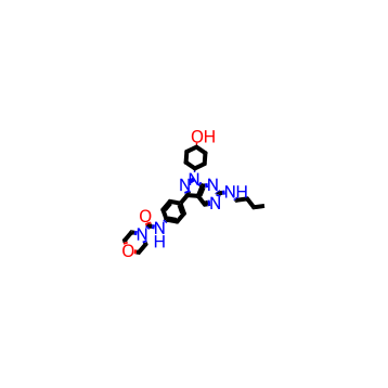 CCCCNc1ncc2c(-c3ccc(NC(=O)N4CCOCC4)cc3)nn([C@H]3CC[C@@H](O)CC3)c2n1